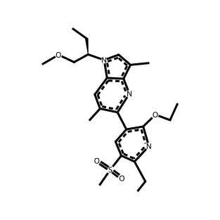 CCOc1nc(CC)c(S(C)(=O)=O)cc1-c1nc2c(C)cn([C@H](CC)COC)c2cc1C